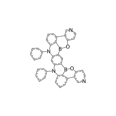 c1ccc(N2c3cc4c(cc3B3Oc5ccncc5-c5cccc2c53)B2Oc3ccncc3-c3cccc(c32)N4c2ccccc2)cc1